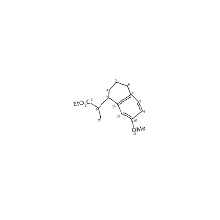 CCOC(=O)C(C)C1CCCc2ccc(OC)cc21